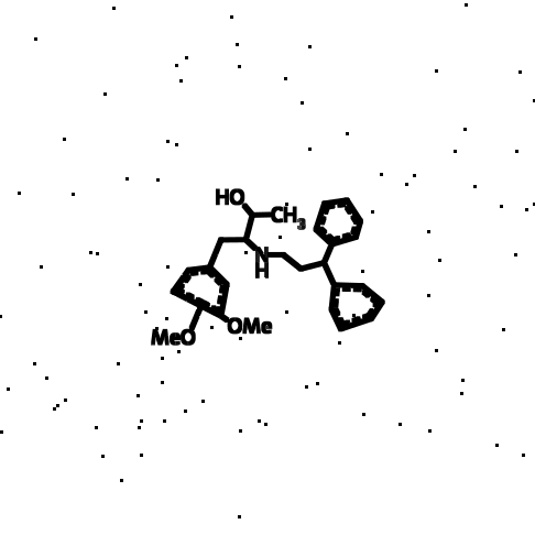 COc1ccc(CC(NCCC(c2ccccc2)c2ccccc2)C(C)O)cc1OC